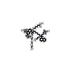 COCCOCCOCCOCCC1(C)\C(=C/C=C/C=C/C2=[N+](CCOC)c3ccc4ccccc4c3C2(C)CCCS(=O)(=O)O)N(CCCCCC(=O)O)c2ccc3c(S(=O)(=O)O)cc(S(=O)(=O)O)cc3c21